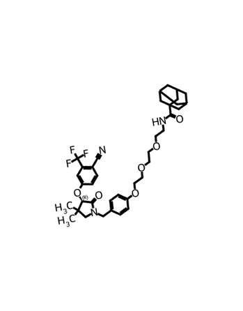 CC1(C)CN(Cc2ccc(OCCOCCOCCNC(=O)C34CC5CC(CC(C5)C3)C4)cc2)C(=O)[C@@H]1Oc1ccc(C#N)c(C(F)(F)F)c1